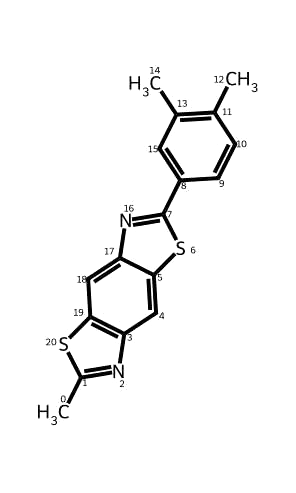 Cc1nc2cc3sc(-c4ccc(C)c(C)c4)nc3cc2s1